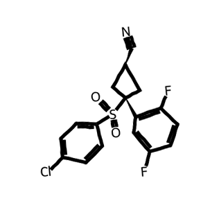 N#C[C@H]1C[C@](c2cc(F)ccc2F)(S(=O)(=O)c2ccc(Cl)cc2)C1